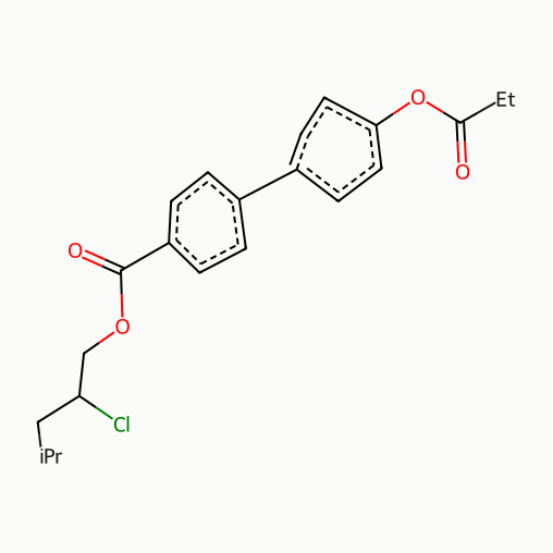 CCC(=O)Oc1ccc(-c2ccc(C(=O)OCC(Cl)CC(C)C)cc2)cc1